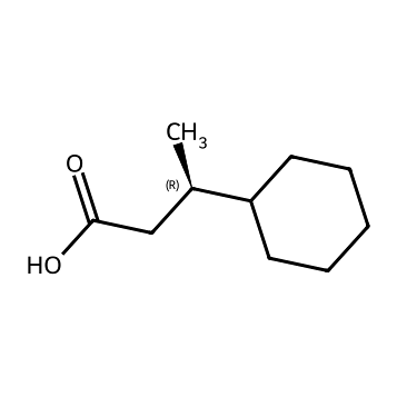 C[C@H](CC(=O)O)C1CCCCC1